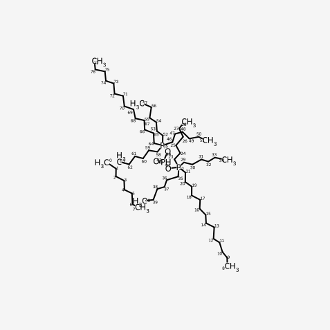 CCCCCCCC.CCCCCCCCCCCCCCP(CCCCCC)(CCCCCC)(CCCCCC)O[PH](=O)OP(CCCCCC)(CCCCCC)(CCCCCC)CCCCCCCCCCCCCC